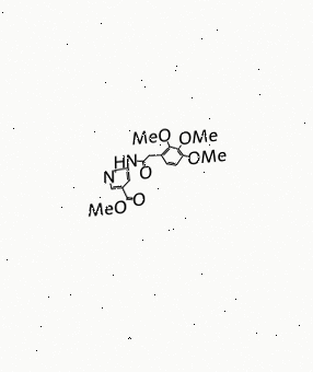 COC(=O)c1cncc(NC(=O)Cc2ccc(OC)c(OC)c2OC)c1